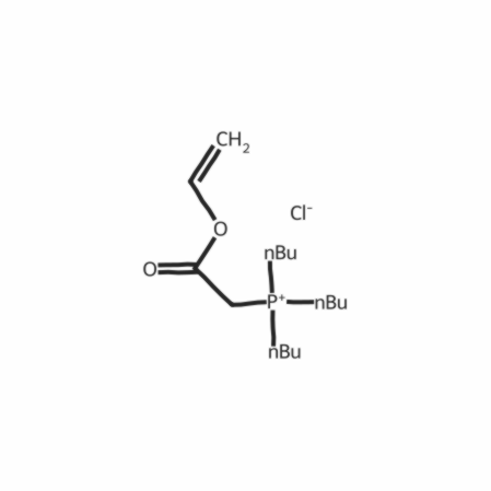 C=COC(=O)C[P+](CCCC)(CCCC)CCCC.[Cl-]